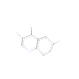 Clc1ccc2ncc(I)c(Br)c2c1